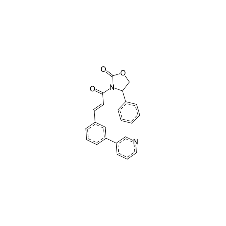 O=C(C=Cc1cccc(-c2cccnc2)c1)N1C(=O)OCC1c1ccccc1